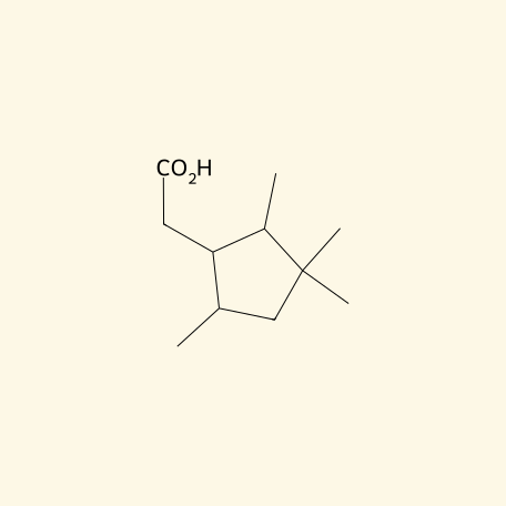 CC1CC(C)(C)C(C)C1CC(=O)O